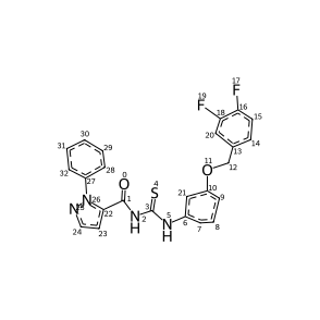 O=C(NC(=S)Nc1cccc(OCc2ccc(F)c(F)c2)c1)c1ccnn1-c1ccccc1